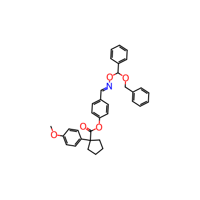 COc1ccc(C2(C(=O)Oc3ccc(C=NOC(OCc4ccccc4)c4ccccc4)cc3)CCCC2)cc1